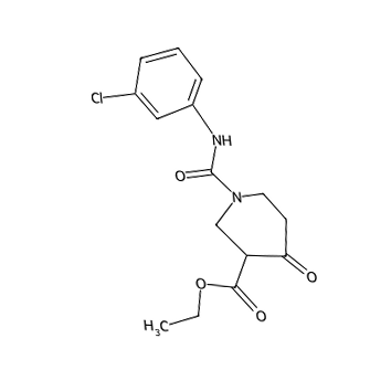 CCOC(=O)C1CN(C(=O)Nc2cccc(Cl)c2)CCC1=O